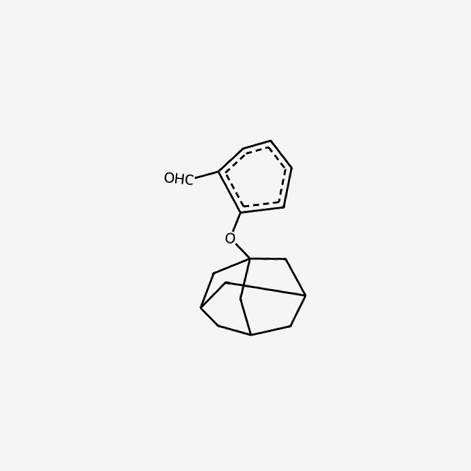 O=Cc1ccccc1OC12CC3CC(CC(C3)C1)C2